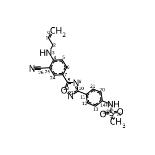 C=CCNc1ccc(-c2nc(-c3ccc(NS(C)(=O)=O)cc3)no2)cc1C#N